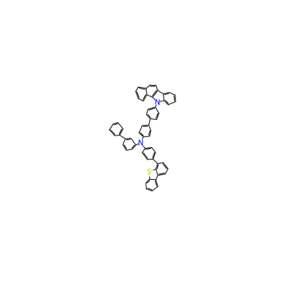 c1ccc(-c2cccc(N(c3ccc(-c4ccc(-n5c6ccccc6c6ccc7ccccc7c65)cc4)cc3)c3ccc(-c4cccc5c4sc4ccccc45)cc3)c2)cc1